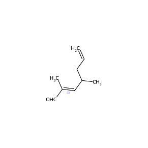 C=CCC(C)/C=C(\C)C=O